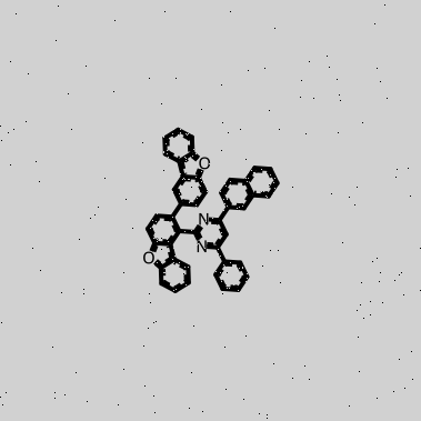 c1ccc(-c2cc(-c3ccc4ccccc4c3)nc(-c3c(-c4ccc5oc6ccccc6c5c4)ccc4oc5ccccc5c34)n2)cc1